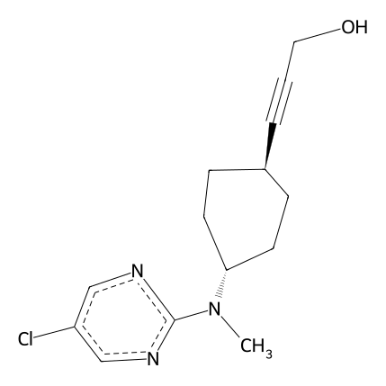 CN(c1ncc(Cl)cn1)[C@H]1CC[C@H](C#CCO)CC1